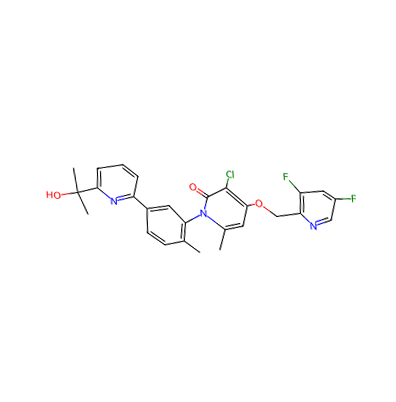 Cc1ccc(-c2cccc(C(C)(C)O)n2)cc1-n1c(C)cc(OCc2ncc(F)cc2F)c(Cl)c1=O